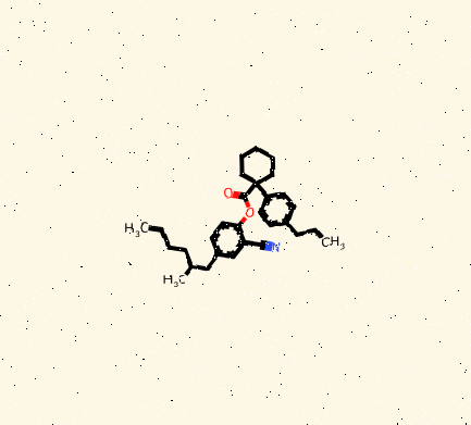 CCCCC(C)Cc1ccc(OC(=O)C2(c3ccc(CCC)cc3)CCCCC2)c(C#N)c1